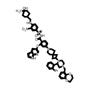 CC(C)c1ccccc1C1CN(Cc2cccc3c2OCCCO3)CCN1C1CC2(CCN(c3ccc(C(=O)NS(=O)(=O)c4ccc(NCC5CCC(C)(O)CC5)c([N+](=O)[O-])c4)c(Oc4cnc5[nH]ccc5c4)c3)CC2)C1